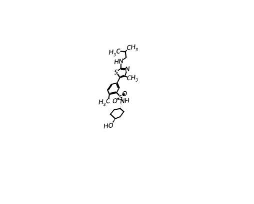 Cc1ccc(-c2sc(NCC(C)C)nc2C)cc1S(=O)(=O)N[C@H]1CC[C@H](O)CC1